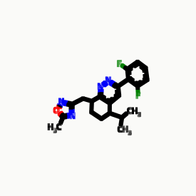 Cc1nc(CC2CCC(C(C)C)c3cc(-c4c(F)cccc4F)nnc32)no1